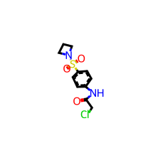 O=C(CCl)Nc1ccc(S(=O)(=O)N2CCC2)cc1